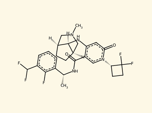 C[C@@H](NC(=O)c1cn([C@H]2CCC2(F)F)c(=O)cc1N[C@H]1[C@@H]2CC[C@H]1CN(C)C2)c1cccc(C(F)F)c1F